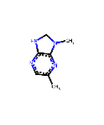 Cc1cnc2c(n1)N(C)CN2